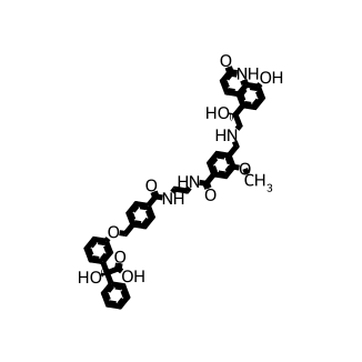 COc1cc(C(=O)NCCNC(=O)c2ccc(COc3cccc([C@](O)(C(=O)O)c4ccccc4)c3)cc2)ccc1CNC[C@H](O)c1ccc(O)c2[nH]c(=O)ccc12